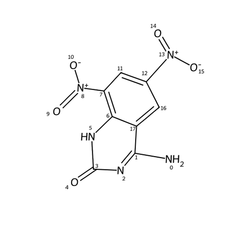 Nc1nc(=O)[nH]c2c([N+](=O)[O-])cc([N+](=O)[O-])cc12